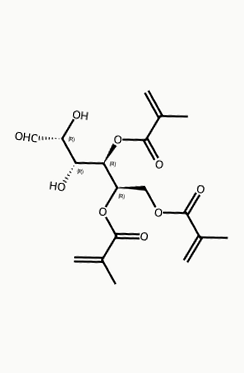 C=C(C)C(=O)OC[C@@H](OC(=O)C(=C)C)[C@H](OC(=O)C(=C)C)[C@H](O)[C@@H](O)C=O